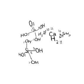 O=P(O)(O)O.O[Si](O)(O)O.[AlH3].[CaH2].[SrH2].[Zn]